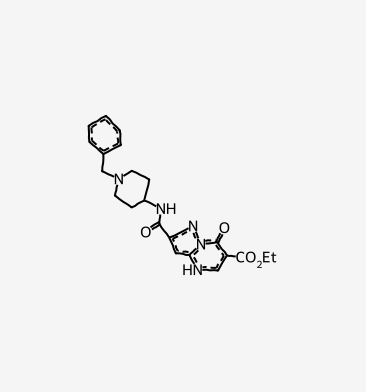 CCOC(=O)c1c[nH]c2cc(C(=O)NC3CCN(Cc4ccccc4)CC3)nn2c1=O